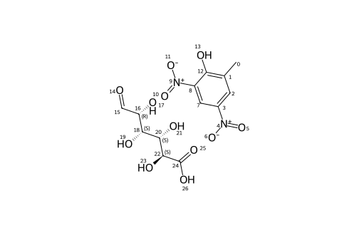 Cc1cc([N+](=O)[O-])cc([N+](=O)[O-])c1O.O=C[C@H](O)[C@@H](O)[C@H](O)[C@H](O)C(=O)O